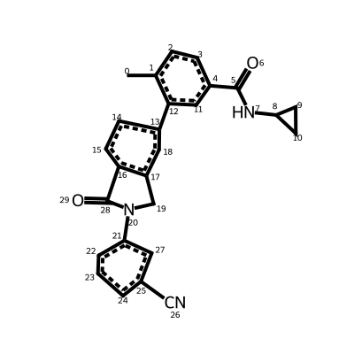 Cc1ccc(C(=O)NC2CC2)cc1-c1ccc2c(c1)CN(c1cccc(C#N)c1)C2=O